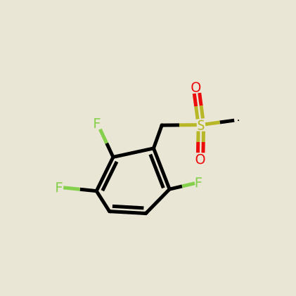 [CH2]S(=O)(=O)Cc1c(F)ccc(F)c1F